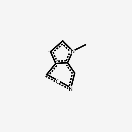 Cn1c[c]c2ccncc21